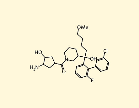 COCCCCC(O)(c1cccc(F)c1-c1cccc(Cl)c1)C1CCCN(C(=O)C2CC(N)C(O)C2)C1